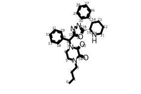 CCCCN1CCN(C(c2ccccc2)c2nnc([C@H]3NCCC[C@H]3c3ccccc3)o2)C(=O)C1=O